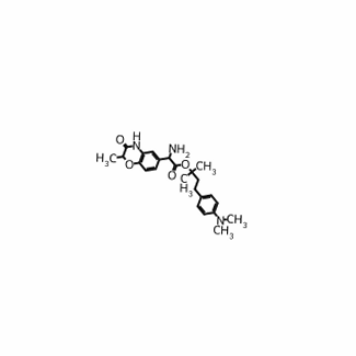 CC1Oc2ccc(C(N)C(=O)OC(C)(C)CCc3ccc(N(C)C)cc3)cc2NC1=O